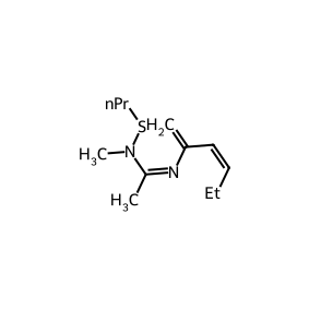 C=C(/C=C\CC)/N=C(/C)N(C)SCCC